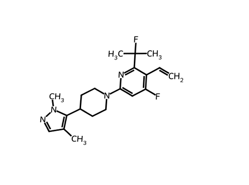 C=Cc1c(F)cc(N2CCC(c3c(C)cnn3C)CC2)nc1C(C)(C)F